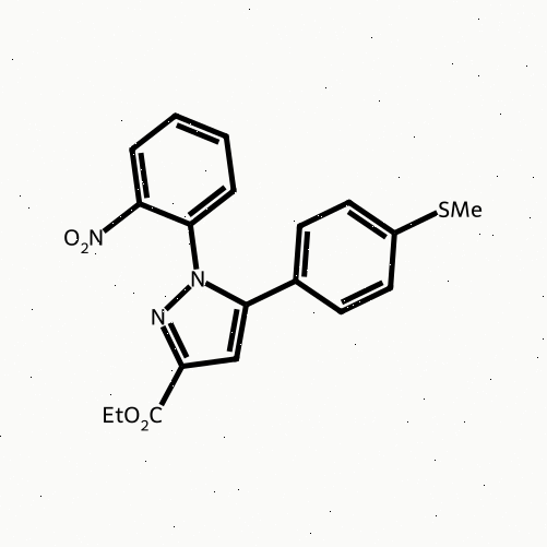 CCOC(=O)c1cc(-c2ccc(SC)cc2)n(-c2ccccc2[N+](=O)[O-])n1